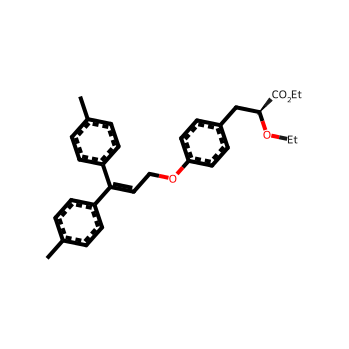 CCOC(=O)[C@H](Cc1ccc(OCC=C(c2ccc(C)cc2)c2ccc(C)cc2)cc1)OCC